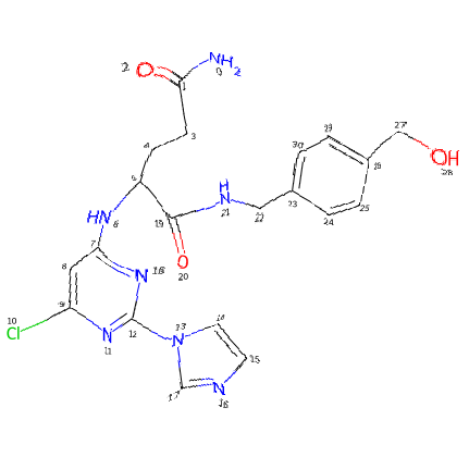 NC(=O)CCC(Nc1cc(Cl)nc(-n2ccnc2)n1)C(=O)NCc1ccc(CO)cc1